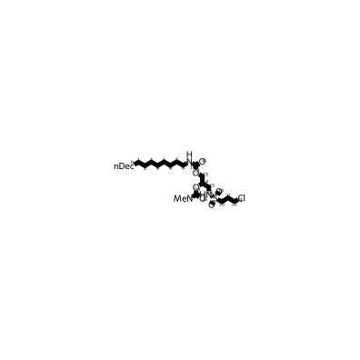 CCCCCCCCCCCCCCCCCCNC(=O)OCC(CNS(=O)(=O)CCCCl)OC(=O)NC